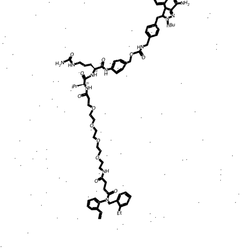 C=Cc1ccccc1N(Cc1ccccc1CC)C(=O)CCC(=O)NCCOCCOCCOCCOCCC(=O)N[C@H](C(=O)N[C@@H](CCCNC(N)=O)C(=O)Nc1ccc(COC(=O)NCc2ccc(CC3C4C(=NN3CCCC)C(N)=Nc3ccccc34)cc2)cc1)C(C)C